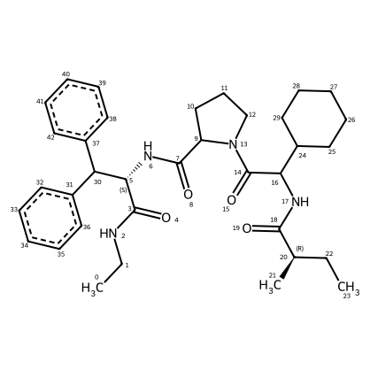 CCNC(=O)[C@@H](NC(=O)C1CCCN1C(=O)C(NC(=O)[C@H](C)CC)C1CCCCC1)C(c1ccccc1)c1ccccc1